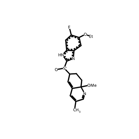 CCOc1cc2nc([S+]([O-])C3C=C4C=C(C)C=NC4(OC)CC3)[nH]c2cc1F